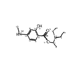 CCN(CC)C(C)OC(=O)c1ccc(NC)cc1O